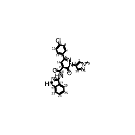 Cn1cc(-n2nc(-c3ccc(Cl)cc3)cc(C(=O)Nc3n[nH]c4ccccc34)c2=O)cn1